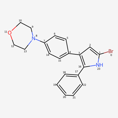 Brc1cc(-c2ccc(N3CCOCC3)cc2)c(-c2ccccc2)[nH]1